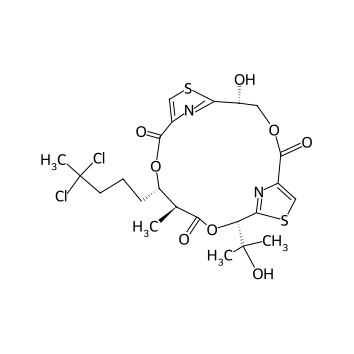 C[C@@H]1C(=O)O[C@@H](C(C)(C)O)c2nc(cs2)C(=O)OC[C@@H](O)c2nc(cs2)C(=O)O[C@H]1CCCC(C)(Cl)Cl